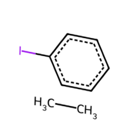 CC.Ic1ccccc1